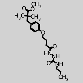 CCCNC(=O)NNC(=O)CCCOc1ccc(CC(C)(C)C(=O)OC)cc1